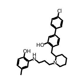 Cc1ccc(O)c(NCCCN2CCCCC2Cc2ccc(-c3ccc(Cl)cc3)cc2O)c1